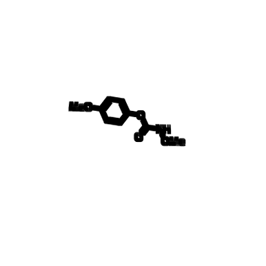 CONC(=O)Oc1ccc(OC)cc1